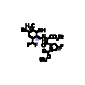 CCOC(=O)C(N/C=C1\C(=N)C(C)=C(Br)C=C1C(F)F)C(=O)[C@@H]1C[C@@H](F)CN1C(=O)OC(C)(C)C